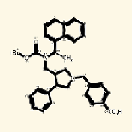 C[C@H](c1cccc2ccccc12)N(CC1CN(Cc2ccc(C(=O)O)cc2)CC1c1ccccc1)C(=O)OC(C)(C)C